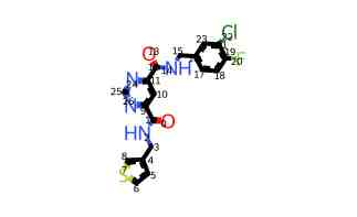 O=C(NCc1ccsc1)c1cc(C(=O)NCc2ccc(F)c(Cl)c2)ncn1